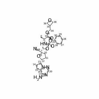 C[C@H](NP(=O)(OC[C@]1(C#N)CC[C@H](c2ccc3c(N)ncnn23)O1)Oc1ccccc1)C(=O)OCC1COC1